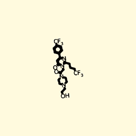 O=C(Cn1c(CCCC(F)(F)F)nc(-c2ccc(C(F)(F)F)cc2)cc1=O)N1CCN(CCO)CC1